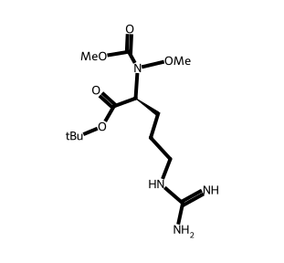 COC(=O)N(OC)[C@@H](CCCNC(=N)N)C(=O)OC(C)(C)C